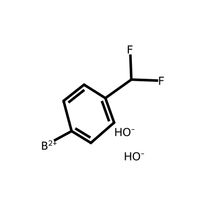 [B+2]c1ccc(C(F)F)cc1.[OH-].[OH-]